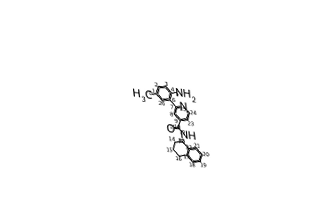 Cc1ccc(N)c(-c2cc(C(=O)N[C@H]3CCCc4ccccc43)ccn2)c1